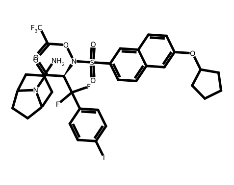 NC1CC2CCC(C1)N2C(=O)[C@@H](N(OC(=O)C(F)(F)F)S(=O)(=O)c1ccc2cc(OC3CCCC3)ccc2c1)C(F)(F)c1ccc(I)cc1